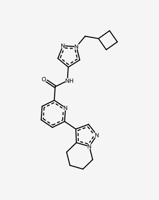 O=C(Nc1cnn(CC2CCC2)c1)c1cccc(-c2cnn3c2CCCC3)n1